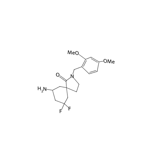 COc1ccc(CN2CCC3(CC(N)CC(F)(F)C3)C2=O)c(OC)c1